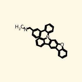 C=NCc1cccc(-c2ccccc2-n2c3ccccc3c3cc4c(cc32)oc2ccccc24)c1